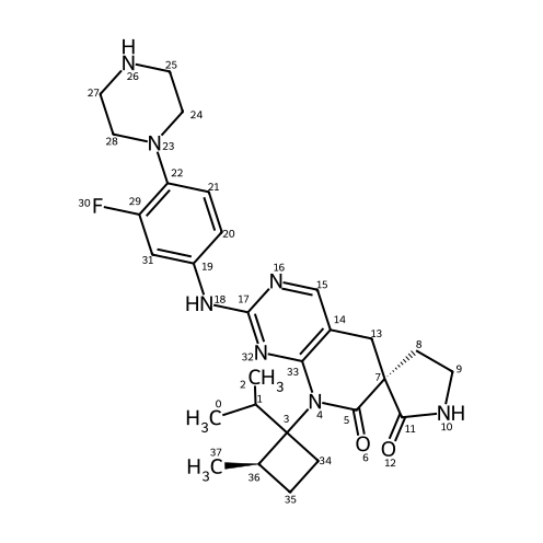 CC(C)C1(N2C(=O)[C@@]3(CCNC3=O)Cc3cnc(Nc4ccc(N5CCNCC5)c(F)c4)nc32)CC[C@H]1C